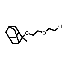 CC1(OCCOCCCl)C2CC3CC(C2)CC1C3